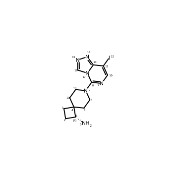 N[C@@H]1CCC12CCN(c1ncc(I)c3nncn13)CC2